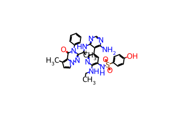 CCNc1ncc(-c2c(N)ncnc2N[C@@H](C)c2nn3ccc(C)c3c(=O)n2-c2ccccc2)cc1NS(=O)(=O)c1ccc(O)cc1